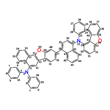 c1ccc(N(c2ccccc2)c2cc3c4ccc(-c5ccc(N(c6ccccc6)c6cccc7oc8ccccc8c67)c6ccccc56)cc4oc3c3ccccc23)cc1